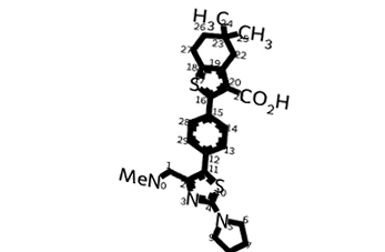 CNCc1nc(N2CCCC2)sc1-c1ccc(-c2sc3c(c2C(=O)O)CC(C)(C)CC3)cc1